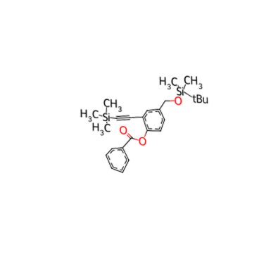 CC(C)(C)[Si](C)(C)OCc1ccc(OC(=O)c2ccccc2)c(C#C[Si](C)(C)C)c1